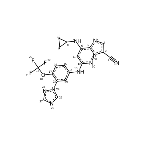 N#Cc1cnc2c(NC3CC3)cc(Nc3ccc(OC(F)(F)F)c(-n4cncn4)c3)nn12